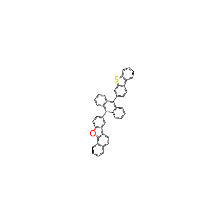 c1ccc2c(c1)ccc1c3cc(-c4c5ccccc5c(-c5ccc6c(c5)sc5ccccc56)c5ccccc45)ccc3oc21